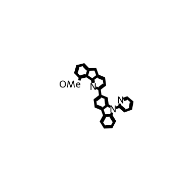 COc1cccc2c1-c1nc(-c3ccc4c5ccccc5n(-c5ccccn5)c4c3)ccc1C2